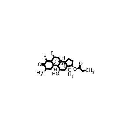 CCC(=O)O[C@@H]1CC[C@H]2[C@@H]3C[C@H](F)C4=C(F)C(=O)C(C)C[C@]4(C)[C@H]3[C@@H](O)C[C@]12C